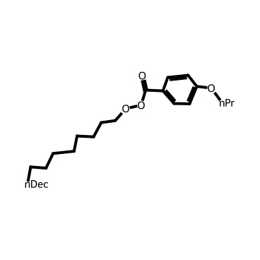 [CH2]CCCCCCCCCCCCCCCCCOOC(=O)c1ccc(OCCC)cc1